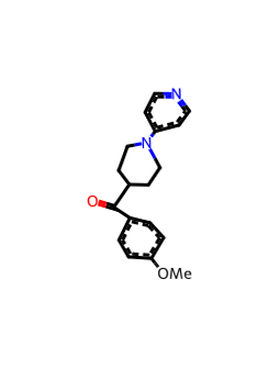 COc1ccc(C(=O)C2CCN(c3ccncc3)CC2)cc1